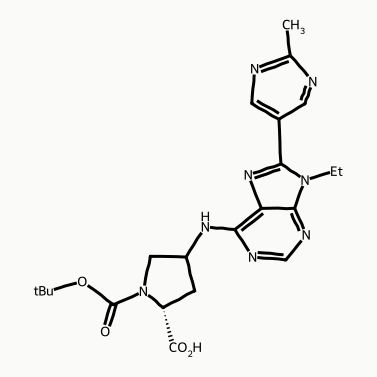 CCn1c(-c2cnc(C)nc2)nc2c(NC3C[C@H](C(=O)O)N(C(=O)OC(C)(C)C)C3)ncnc21